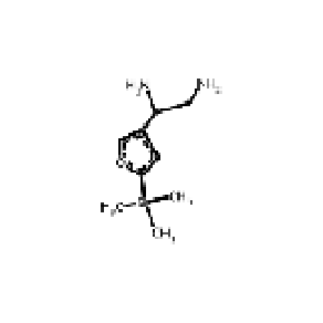 C[Si](C)(C)c1cc(C(N)CN)co1